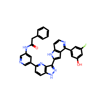 O=C(Cc1ccccc1)Nc1cncc(-c2ccc3[nH]nc(-c4cc5c(-c6cc(O)cc(F)c6)nccc5[nH]4)c3n2)c1